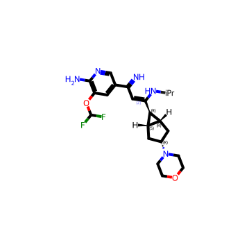 CC(C)N/C(=C\C(=N)c1cnc(N)c(OC(F)F)c1)[C@H]1[C@@H]2C[C@H](N3CCOCC3)C[C@@H]21